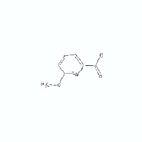 COc1cccc(C(=O)Cl)n1